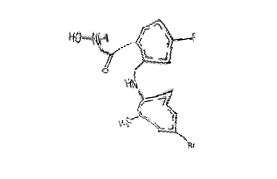 Cc1cc(Br)ccc1Nc1cc(F)ccc1C(=O)NO